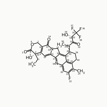 CC[C@@]1(O)C(=O)OCc2c1cc1n(c2=O)Cc2c-1nc1cc(F)c(C)c3c1c2[C@@H](N(C)C(=O)[C@H](O)C(F)(F)F)CC3